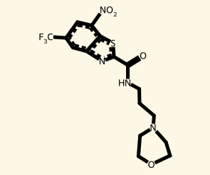 O=C(NCCCN1CCOCC1)c1nc2cc(C(F)(F)F)cc([N+](=O)[O-])c2s1